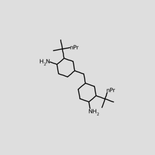 CCCC(C)(C)C1CC(CC2CCC(N)C(C(C)(C)CCC)C2)CCC1N